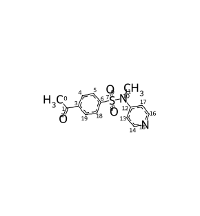 CC(=O)c1ccc(S(=O)(=O)N(C)c2ccncc2)cc1